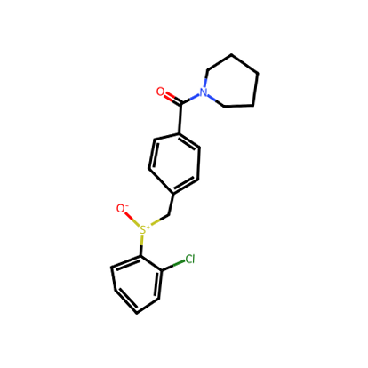 O=C(c1ccc(C[S+]([O-])c2ccccc2Cl)cc1)N1CCCCC1